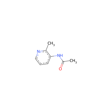 CC(=O)Nc1cccnc1C